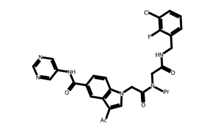 CC(=O)c1cn(CC(=O)N(CC(=O)NCc2cccc(Cl)c2F)C(C)C)c2ccc(C(=O)Nc3cncnc3)cc12